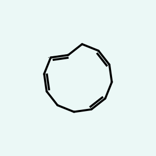 [C]1=C/C/C=C\C/C=C\CC\C=C/1